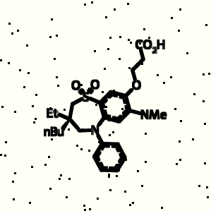 CCCC[C@]1(CC)CN(c2ccccc2)c2cc(NC)c(OCCC(=O)O)cc2S(=O)(=O)C1